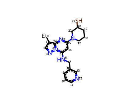 CCc1cnn2c(NCc3cccnc3)cc(N3CCCC(S)C3)nc12